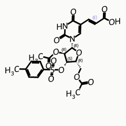 CC(=O)OC[C@H]1O[C@@H](n2cc(/C=C/C(=O)O)c(=O)[nH]c2=O)[C@H](OC(C)=O)[C@H]1OS(=O)(=O)c1ccc(C)cc1